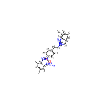 Nc1ccccc1NC(=O)c1ccc(CCn2cc3ccccc3n2)cc1